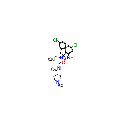 CC(=O)N1CCC(C(=O)NCCN(CC(C)(C)C)[C@@]2(Cc3cccc(Cl)c3)C(=O)Nc3cc(Cl)ccc32)CC1